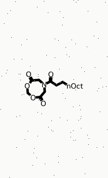 CCCCCCCCCCC(=O)N1CC(=O)OCOC(=O)C1